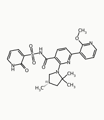 COc1ncccc1-c1ccc(C(=O)NS(=O)(=O)c2ccc[nH]c2=O)c(N2C[C@@H](C)CC2(C)C)n1